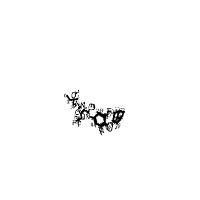 CCC1(OC)CN(c2nc(C(=O)Nc3cc(F)c(OC4CC5CC(C5)C4)c(F)c3)c(CC(F)(F)F)o2)C1